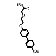 CC(C)(C)C(=O)COCCOC1=CC=C(C2=CC=C(C(C)(C)C)CC2)CC1